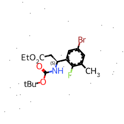 CCOC(=O)C[C@H](NC(=O)OC(C)(C)C)c1cc(Br)cc(C)c1F